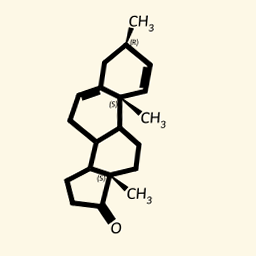 C[C@H]1C=C[C@@]2(C)C(=CCC3C2CC[C@]2(C)C(=O)CCC32)C1